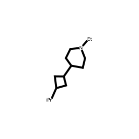 CCN1CCC(C2CC(C(C)C)C2)CC1